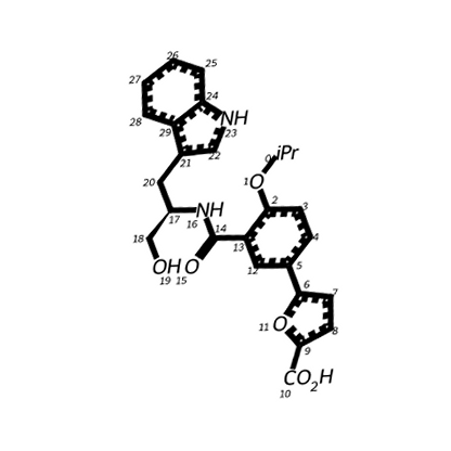 CC(C)Oc1ccc(-c2ccc(C(=O)O)o2)cc1C(=O)N[C@@H](CO)Cc1c[nH]c2ccccc12